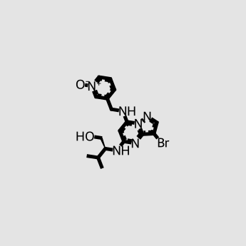 CC(C)[C@@H](CO)Nc1cc(NCc2ccc[n+]([O-])c2)n2ncc(Br)c2n1